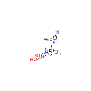 COc1cc(SN(C)C)ccc1NCC#Cc1cc2c(NC3CCN(CC(O)CO)CC3)cccc2n1CC(F)(F)F